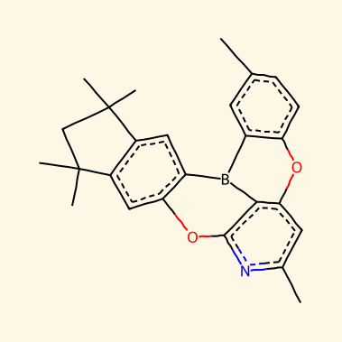 Cc1ccc2c(c1)B1c3cc4c(cc3Oc3nc(C)cc(c31)O2)C(C)(C)CC4(C)C